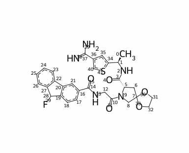 C[C@@H](NC(=O)[C@@H]1CC2(CN1C(=O)CNC(=O)c1ccc3c(c1)-c1ccccc1C3F)OCCO2)c1cc(C(=N)N)cs1